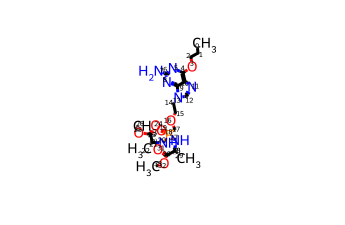 CCCOc1nc(N)nc2c1ncn2CCOCP(=O)(N[C@H](C)C(=O)OC)N[C@H](C)C(=O)OC